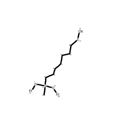 CCO[Si](C)(CCCCCCCSC#N)OCC